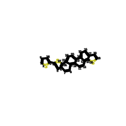 c1csc(-c2cc3ccc4c5ccc6c(ccc7ccsc76)c5ccc4c3s2)c1